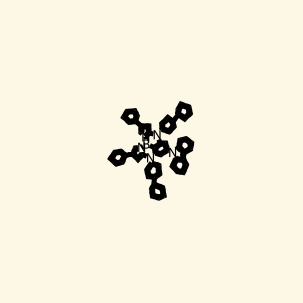 c1ccc(-c2ccc(N3c4cc(-n5c6ccccc6c6ccccc65)cc5c4B(n4cc(-c6ccccc6)cc43)n3cc(-c4ccccc4)cc3N5c3ccc(-c4ccccc4)cc3)cc2)cc1